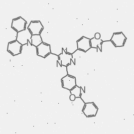 c1ccc(-c2nc3cc(-c4nc(-c5ccc6oc(-c7ccccc7)nc6c5)nc(-c5ccc6c(c5)c5ccccc5n6-c5ccccc5-c5ccccc5)n4)ccc3o2)cc1